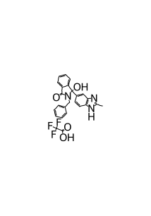 Cc1nc2cc(C3(O)c4ccccc4C(=O)N3Cc3ccccc3)ccc2[nH]1.O=C(O)C(F)(F)F